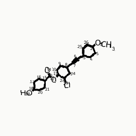 COC1CCC(C#CC2CCC(OC(=O)C3CCC(O)CC3)C(Cl)C2)CC1